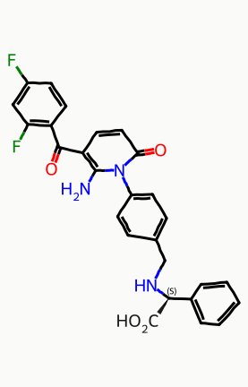 Nc1c(C(=O)c2ccc(F)cc2F)ccc(=O)n1-c1ccc(CN[C@H](C(=O)O)c2ccccc2)cc1